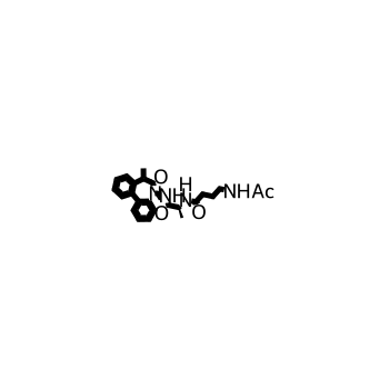 CC(=O)NCCCC(=O)N[C@@H](C)C(=O)NN1C(=O)C(C)c2ccccc2-c2ccccc21